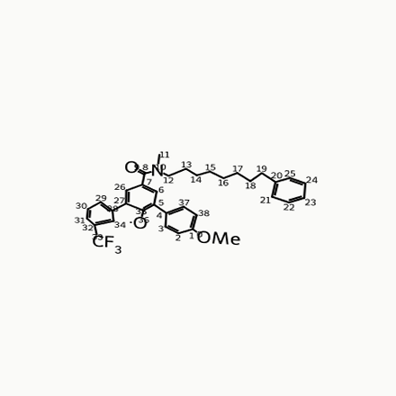 COc1ccc(-c2cc(C(=O)N(C)CCCCCCCCc3ccccc3)cc(-c3cccc(C(F)(F)F)c3)c2[O])cc1